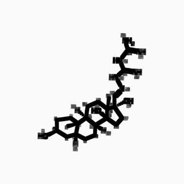 C[C@]12CC[C@H](O)C[C@H]1CC[C@@H]1[C@@H]2CC[C@]2(C)[C@@](O)(/C=N/NC(=N)NC(=N)N)CC[C@]12O